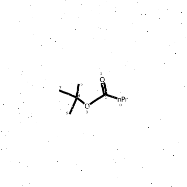 C[C]CC(=O)OC(C)(C)C